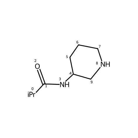 CC(C)C(=O)NC1CCCNC1